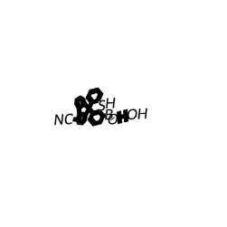 CC(C)(O)C(C)(C)OBC1CC=CC2=C1Sc1ccccc1C21c2ccccc2-c2c(C#N)cccc21